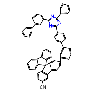 N#Cc1ccc2c(c1)-c1ccc(-c3cccc(-c4ccc(-c5nc(-c6ccccc6)nc(-c6cccc(-c7ccccc7)c6)n5)cc4)c3)cc1C21c2ccccc2-c2ccccc21